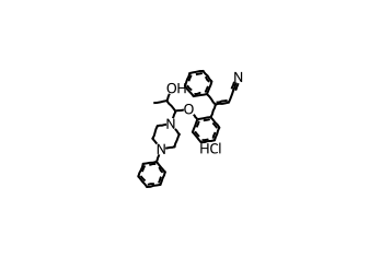 CC(O)C(Oc1ccccc1C(=CC#N)c1ccccc1)N1CCN(c2ccccc2)CC1.Cl